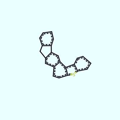 c1ccc2c(c1)Cc1cc3ccc4sc5ccccc5c4c3cc1-2